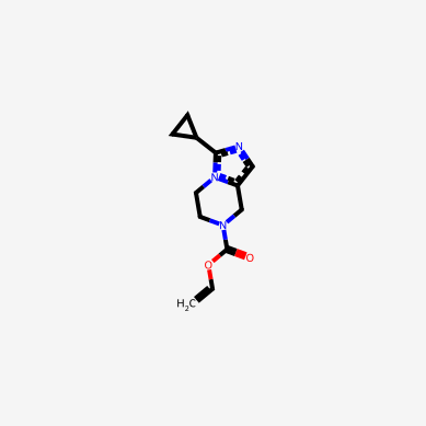 C=COC(=O)N1CCn2c(cnc2C2CC2)C1